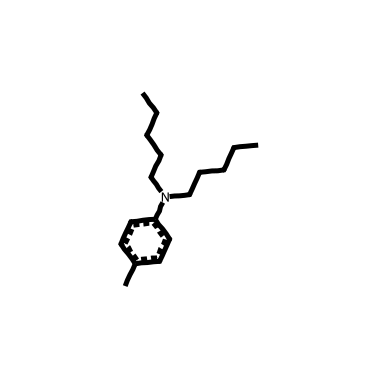 CCCCCN(CCCCC)c1ccc(C)cc1